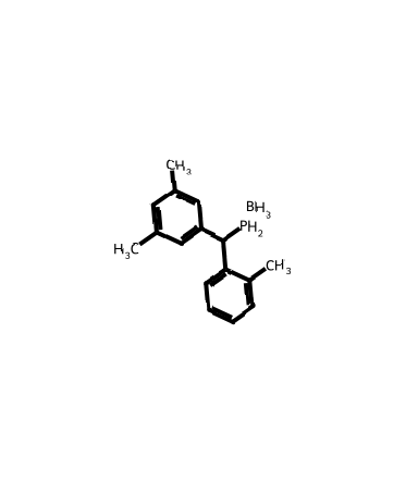 B.Cc1cc(C)cc(C(P)c2ccccc2C)c1